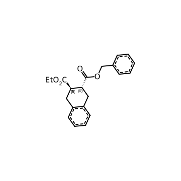 CCOC(=O)[C@@H]1Cc2ccccc2C[C@H]1C(=O)OCc1ccccc1